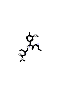 C=C(/C=C\CC)/C(=N\C/C(=C/C(=O)N(C)C)CC)c1ccc(C)c(OC)c1